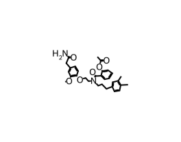 COc1cc(CC(N)=O)ccc1OCCN(CCCc1ccc(C)c(C)c1)C(=O)c1ccccc1OC(C)=O